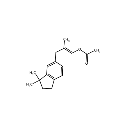 CC(=O)OC=C(C)Cc1ccc2c(c1)C(C)(C)CC2